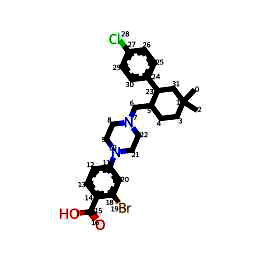 CC1(C)CCC(CN2CCN(c3ccc(C(=O)O)c(Br)c3)CC2)C(c2ccc(Cl)cc2)C1